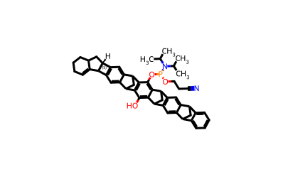 CC(C)N(C(C)C)P(OCCC#N)Oc1c2c(c(O)c3c1C1CC3c3cc4c(cc31)[C@H]1CC3CCCC=C3C41)C1CC2c2cc3c(cc21)C1CC3c2ccccc21